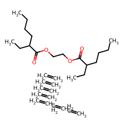 C=C.C=C.C=C.C=C.C=C.C=C.C=C.CCCCC(CC)C(=O)OCCOC(=O)C(CC)CCCC